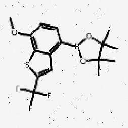 COc1ccc(B2OC(C)(C)C(C)(C)O2)c2cc(C(F)(F)F)sc12